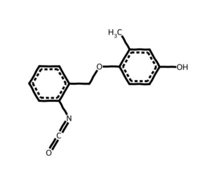 Cc1cc(O)ccc1OCc1ccccc1N=C=O